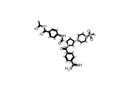 CC(=O)OC(=O)c1ccc(NC(=O)[C@@H]2C[C@H](N3CCN(S(C)(=O)=O)CC3)CN2C(=O)c2ccc(C(=N)N)cc2)cc1